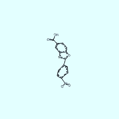 O=C(O)c1ccc2oc(-c3ccc([N+](=O)[O-])cc3)nc2c1